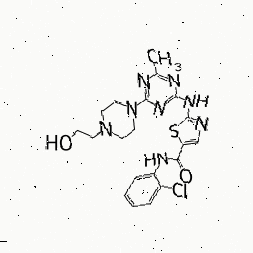 Cc1nc(Nc2ncc(C(=O)Nc3ccccc3Cl)s2)nc(N2CCN(CCO)CC2)n1